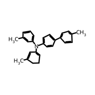 CC1=CC(N(c2ccc(-c3ccc(C)cc3)cc2)c2cccc(C)c2)=CCC1